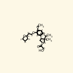 COc1ccc([C@@H]2CN(C(=O)CO)C[C@@]2(C)[C@@H](C)O)cc1OCCC1CCCO1